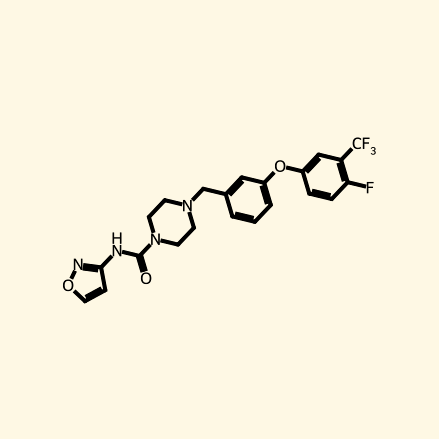 O=C(Nc1ccon1)N1CCN(Cc2cccc(Oc3ccc(F)c(C(F)(F)F)c3)c2)CC1